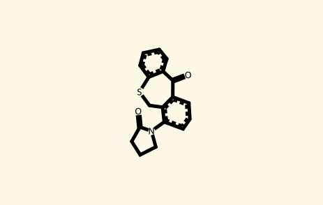 O=C1c2ccccc2SCc2c1cccc2N1CCCC1=O